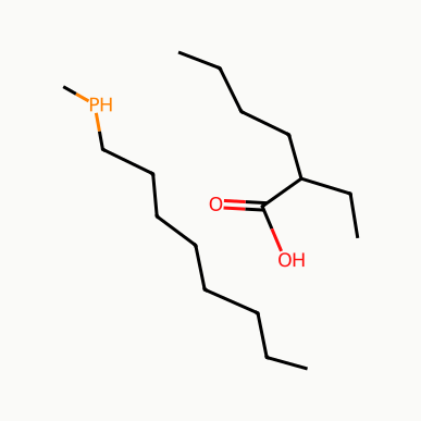 CCCCC(CC)C(=O)O.CCCCCCCCPC